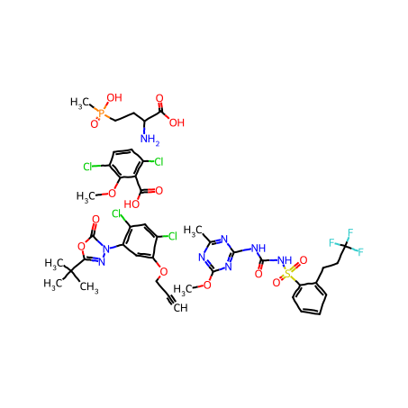 C#CCOc1cc(-n2nc(C(C)(C)C)oc2=O)c(Cl)cc1Cl.COc1c(Cl)ccc(Cl)c1C(=O)O.COc1nc(C)nc(NC(=O)NS(=O)(=O)c2ccccc2CCC(F)(F)F)n1.CP(=O)(O)CCC(N)C(=O)O